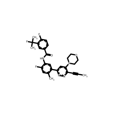 CC#Cc1nnc(-c2cc(NC(=O)c3ccc(F)c(C(C)(C)F)c3)c(F)cc2C)cc1N1CCOCC1